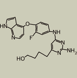 Nc1nc(CCCCO)cc(Nc2ccc(Oc3ccnc4[nH]ccc34)c(F)c2)n1